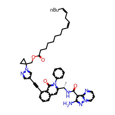 CCCC/C=C\C/C=C\CCCCCCCC(=O)OCC1(n2cc(C#Cc3cccc4cc([C@H](C)NC(=O)c5c(N)nn6cccnc56)n(-c5ccccc5)c(=O)c34)cn2)CC1